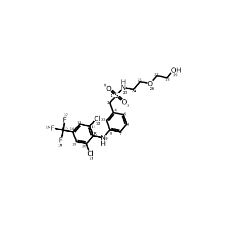 O=S(=O)(Cc1cccc(Nc2c(Cl)cc(C(F)(F)F)cc2Cl)c1)NCCOCCO